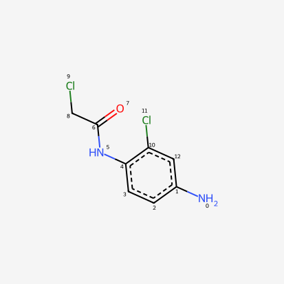 Nc1ccc(NC(=O)CCl)c(Cl)c1